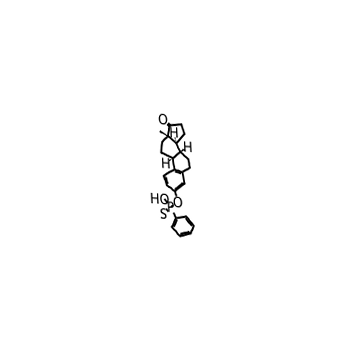 C[C@]12CC[C@@H]3c4ccc(OP(O)(=S)c5ccccc5)cc4CC[C@H]3[C@@H]1CCC2=O